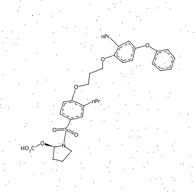 CCCc1cc(Oc2ccccc2)ccc1OCCCOc1ccc(S(=O)(=O)N2CCC[C@H]2OC(=O)O)cc1CCC